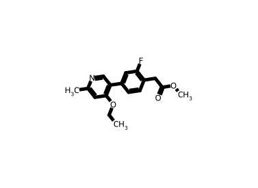 CCOc1cc(C)ncc1-c1ccc(CC(=O)OC)c(F)c1